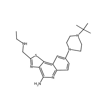 CCNCc1nc2c(N)nc3ccc(N4CCN(C(C)(C)C)CC4)cc3c2s1